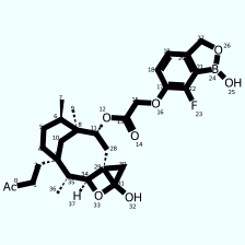 CC(=O)CC[C@]12CC[C@@H](C)[C@](C)(C1)[C@H](OC(=O)COc1ccc3c(c1F)B(O)OC3)C[C@]13CC1(O)O[C@H]3[C@@H]2C